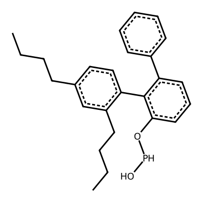 CCCCc1ccc(-c2c(OPO)cccc2-c2ccccc2)c(CCCC)c1